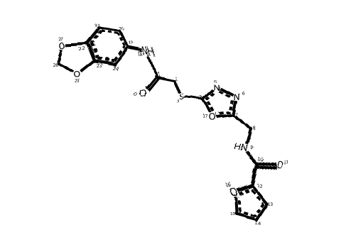 O=C(CSc1nnc(CNC(=O)c2ccco2)o1)Nc1ccc2c(c1)OCO2